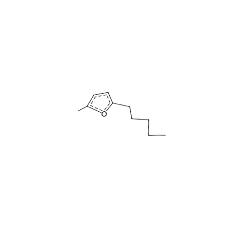 CCCCCc1ccc(C)o1